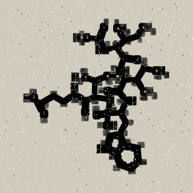 CCC(C)[C@H](NC(C)=O)C(=O)N[C@H](C(=O)NC(Cc1c[nH]c2ccccc12)P(=O)(O)OC(C(=O)NCCC(=O)O)C(C)C)C(C)CC